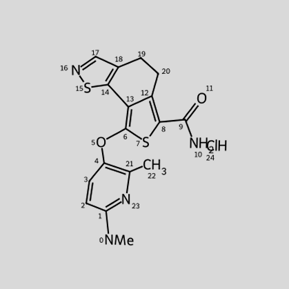 CNc1ccc(Oc2sc(C(N)=O)c3c2-c2sncc2CC3)c(C)n1.Cl